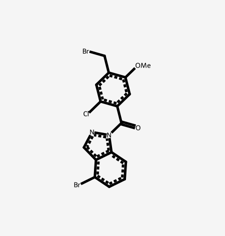 COc1cc(C(=O)n2ncc3c(Br)cccc32)c(Cl)cc1CBr